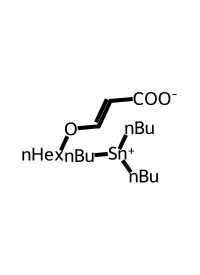 CCCCCCOC=CC(=O)[O-].CCC[CH2][Sn+]([CH2]CCC)[CH2]CCC